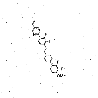 C=Cc1ccc(-c2ccc(CCC3C=CC(C4CCC(OC)C(F)=C4F)=CC3)c(F)c2F)nc1